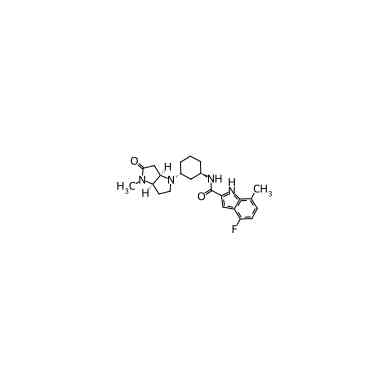 Cc1ccc(F)c2cc(C(=O)N[C@@H]3CCC[C@@H](N4CC[C@@H]5[C@H]4CC(=O)N5C)C3)[nH]c12